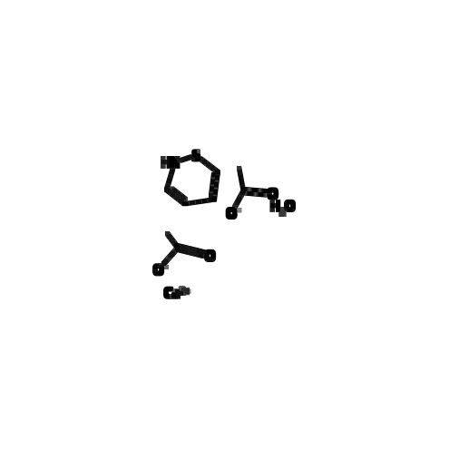 C1=CNSC=C1.CC(=O)[O-].CC(=O)[O-].O.[Ca+2]